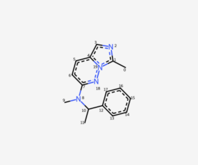 Cc1ncc2ccc(N(C)C(C)c3ccccc3)nn12